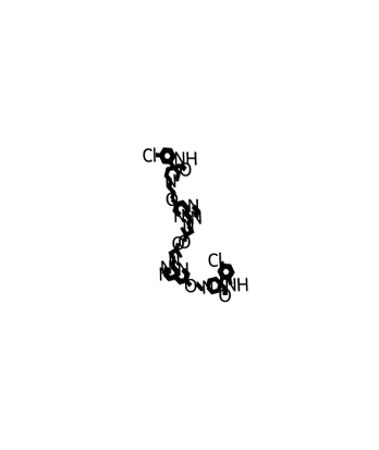 O=C1Nc2ccc(Cl)cc2C12CCN(CCOc1cnc3c(N4CC(OOC5CN(c6ncnc7cc(OCCN8CCC9(CC8)C(=O)Nc8ccc(Cl)cc89)cnc67)C5)C4)nncc3c1)CC2